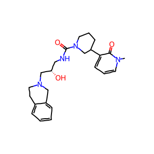 Cn1cccc(C2CCCN(C(=O)NC[C@H](O)CN3CCc4ccccc4C3)C2)c1=O